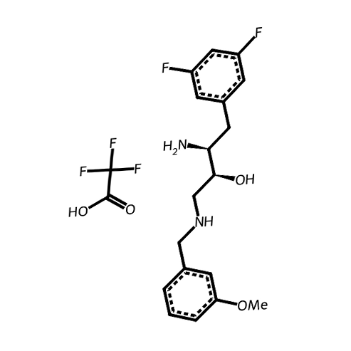 COc1cccc(CNC[C@H](O)[C@@H](N)Cc2cc(F)cc(F)c2)c1.O=C(O)C(F)(F)F